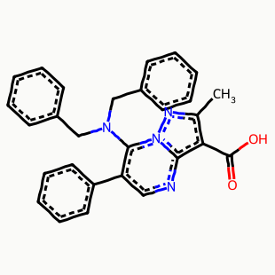 Cc1nn2c(N(Cc3ccccc3)Cc3ccccc3)c(-c3ccccc3)cnc2c1C(=O)O